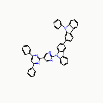 c1ccc(-c2cc(-c3ccccc3)nc(-c3cnc(-n4c5ccccc5c5cc(-c6ccc7c8ccccc8n(-c8ccccc8)c7c6)ccc54)nc3)n2)cc1